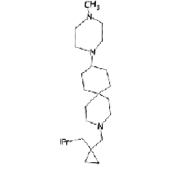 CC(C)CC1(CN2CCC3(CCC(N4CCN(C)CC4)CC3)CC2)CC1